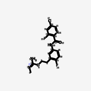 C/N=C(/N)OCCc1cc(NC(=O)c2ncc(Cl)cc2F)ccc1F